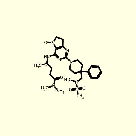 C[C@H](CCC(=O)N(C)C)Nc1nc(N2CCC(CN(C)S(C)(=O)=O)(c3ccccc3)CC2)nc2c1[S+]([O-])CC2